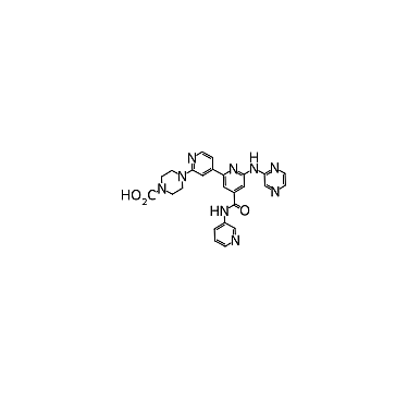 O=C(Nc1cccnc1)c1cc(Nc2cnccn2)nc(-c2ccnc(N3CCN(C(=O)O)CC3)c2)c1